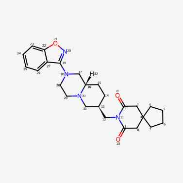 O=C1CC2(CCCC2)CC(=O)N1C[C@@H]1CC[C@H]2CN(c3noc4ccccc34)CCN2C1